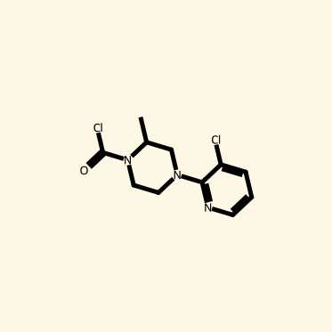 CC1CN(c2ncccc2Cl)CCN1C(=O)Cl